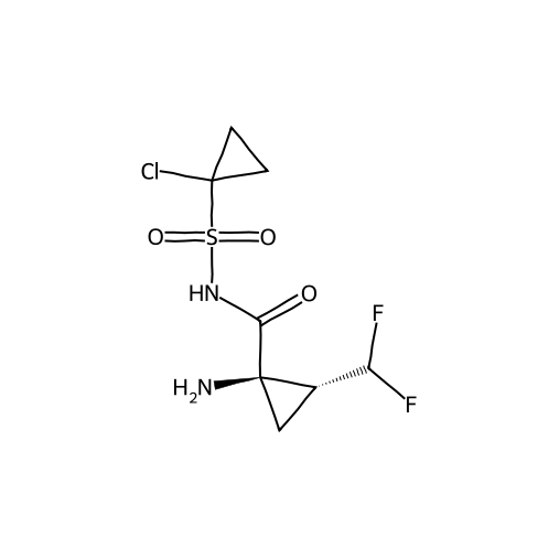 N[C@]1(C(=O)NS(=O)(=O)C2(Cl)CC2)C[C@H]1C(F)F